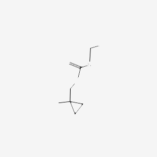 CCNC(=O)OCC1(C)CC1